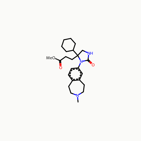 COC(=O)CCC1(C2CCCCC2)CNC(=O)N1c1ccc2c(c1)CCN(C)CC2